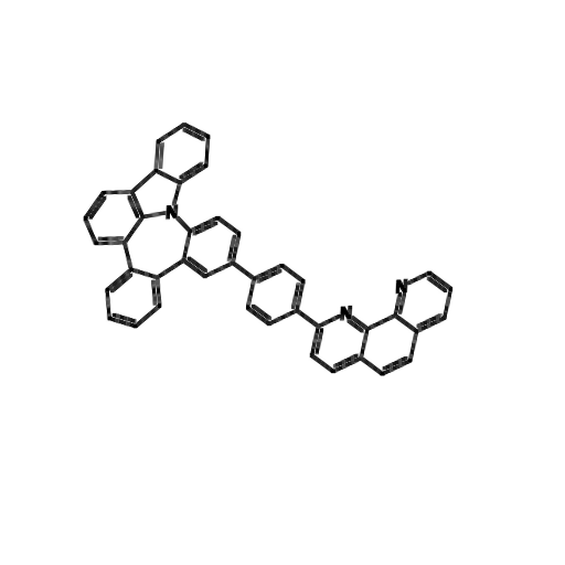 c1ccc2c(c1)-c1cc(-c3ccc(-c4ccc5ccc6cccnc6c5n4)cc3)ccc1-n1c3ccccc3c3cccc-2c31